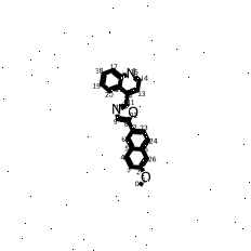 COc1ccc2cc(-c3cnc(-c4ccnc5ccccc45)o3)ccc2c1